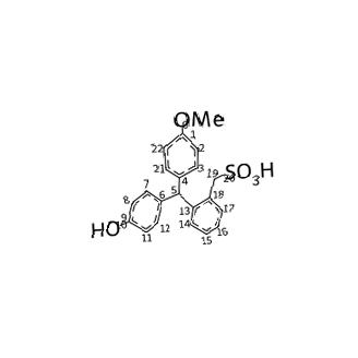 COc1ccc(C(c2ccc(O)cc2)c2ccccc2CS(=O)(=O)O)cc1